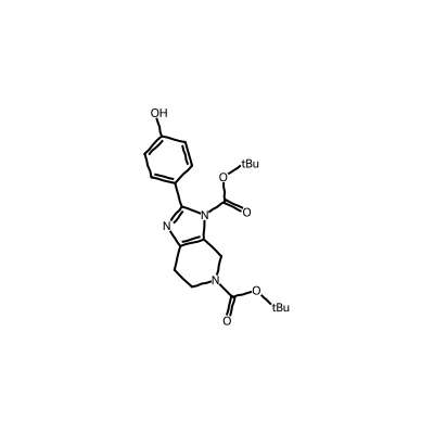 CC(C)(C)OC(=O)N1CCc2nc(-c3ccc(O)cc3)n(C(=O)OC(C)(C)C)c2C1